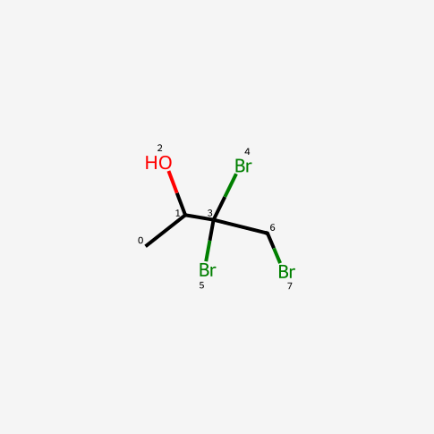 CC(O)C(Br)(Br)CBr